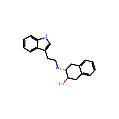 O[C@@H]1Cc2ccccc2C[C@H]1NCCc1c[nH]c2ccccc12